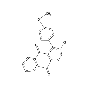 COc1ccc(-c2c(Cl)ccc3c2C(=O)c2ccccc2C3=O)cc1